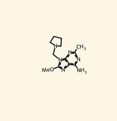 COc1nc2c(N)nc(C)nc2n1CN1CCCC1